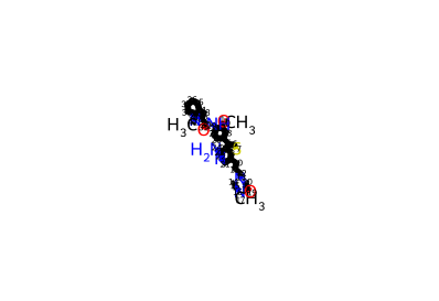 COc1cc(-c2csc3c(C=CCN4CCN(C)C(=O)C4)cnc(N)c23)ccc1NC(=O)c1cc2ccccc2n1C